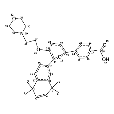 CC1(C)C=CC(C)(C)c2cc(-c3cc(-c4ccc(C(=O)O)cc4)ccc3OCCN3CCOCC3)ccc21